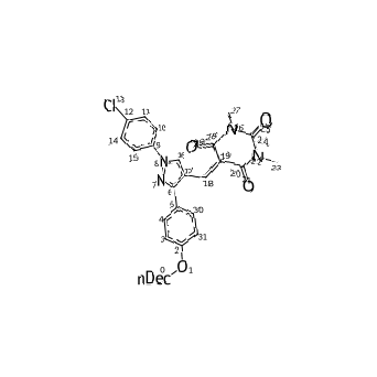 CCCCCCCCCCOc1ccc(-c2nn(-c3ccc(Cl)cc3)cc2C=C2C(=O)N(C)C(=O)N(C)C2=O)cc1